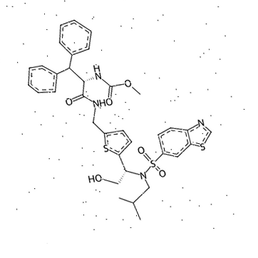 COC(=O)N[C@H](C(=O)NCc1ccc([C@@H](CO)N(CC(C)C)S(=O)(=O)c2ccc3ncsc3c2)s1)C(c1ccccc1)c1ccccc1